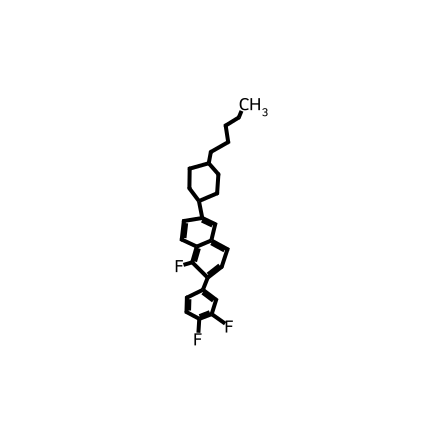 CCCCCC1CCC(c2ccc3c(F)c(-c4ccc(F)c(F)c4)ccc3c2)CC1